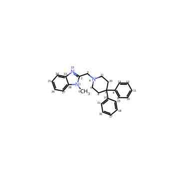 Cn1c(CN2CCC(c3ccccc3)(c3ccccc3)CC2)nc2ccccc21